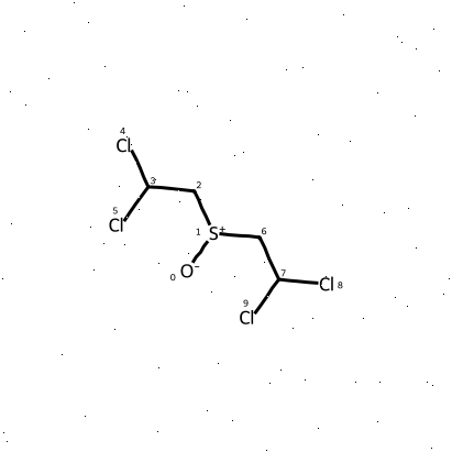 [O-][S+](CC(Cl)Cl)CC(Cl)Cl